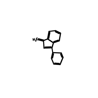 C=C1C=C(c2ccccc2)c2ccccc21